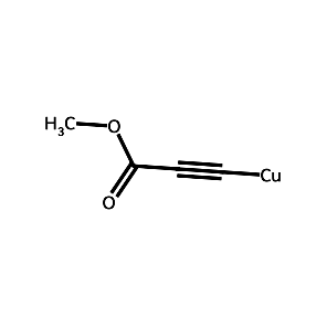 COC(=O)C#[C][Cu]